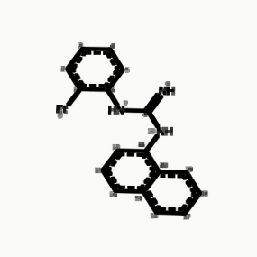 CCc1ccccc1NC(=N)Nc1cccc2ccccc12